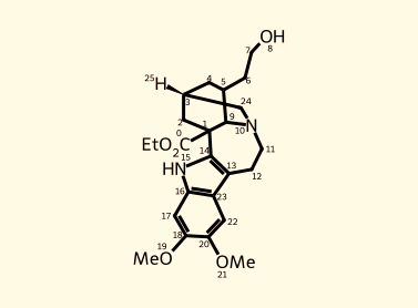 CCOC(=O)C12C[C@@H]3CC(CCO)C1N(CCc1c2[nH]c2cc(OC)c(OC)cc12)C3